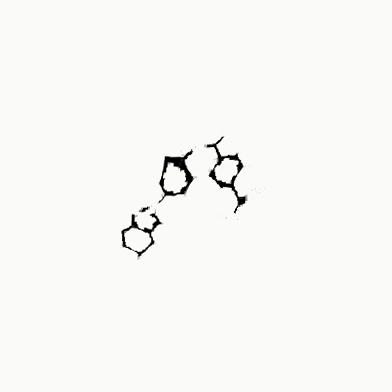 CCCC(Oc1ccc(-n2cc3c(n2)CCCC3)cc1)c1ccc(C(=O)OC)cc1